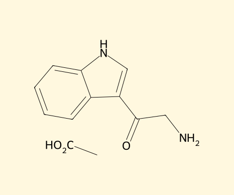 CC(=O)O.NCC(=O)c1c[nH]c2ccccc12